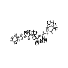 Cc1cc(F)cc(CCc2cc(OC(=O)c3cc(CCc4ccccc4)n[nH]3)c(=O)[nH]n2)c1